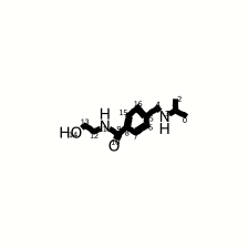 CC(C)NCc1ccc(C(=O)NCCO)cc1